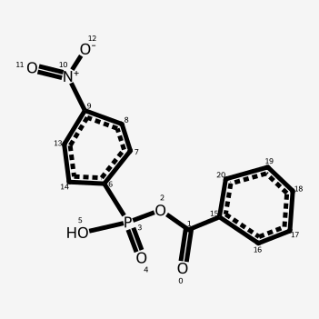 O=C(OP(=O)(O)c1ccc([N+](=O)[O-])cc1)c1ccccc1